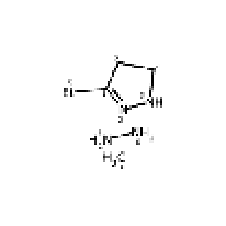 CCC1=NNCC1.NN.O